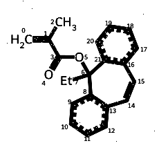 C=C(C)C(=O)OC1(CC)c2ccccc2C=Cc2ccccc21